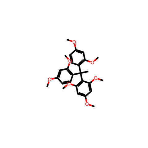 COc1ccc(C(C)(c2ccc(OC)cc2OC)c2c(OC)cc(OC)cc2OC)c(OC)c1